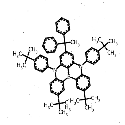 CC(C)(C)c1ccc(N2c3ccc(C(C)(C)C)cc3B3c4cc(C(C)(C)C)ccc4N(c4ccc(C(C)(C)C)cc4)c4cc(C(C)(c5ccccc5)c5ccccc5)cc2c43)cc1